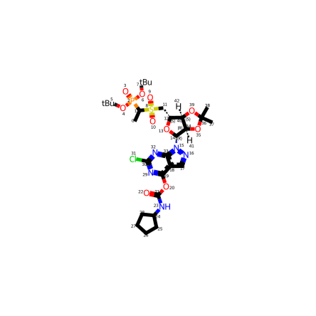 CC(P(=O)(OC(C)(C)C)OC(C)(C)C)S(=O)(=O)C[C@H]1O[C@@H](n2ncc3c(OC(=O)NC4CCCC4)nc(Cl)nc32)[C@@H]2OC(C)(C)O[C@@H]21